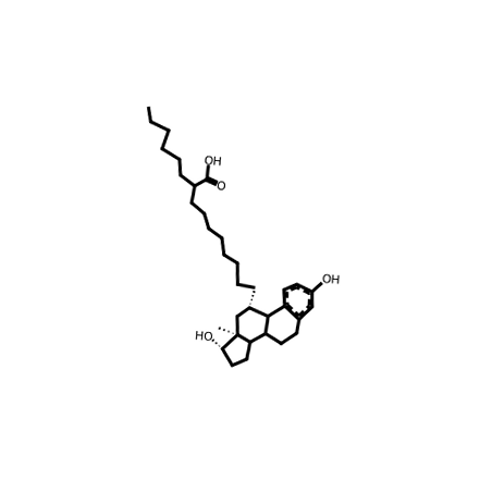 CCCCCCC(CCCCCCCC[C@H]1C[C@@]2(C)C(CC[C@@H]2O)C2CCc3cc(O)ccc3C21)C(=O)O